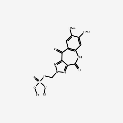 CCOP(=O)(OCC)OCn1nc2c(=O)[nH]c3cc(OC)c(OC)cc3c(=O)c2n1